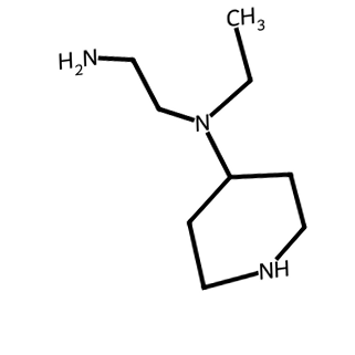 CCN(CCN)C1CCNCC1